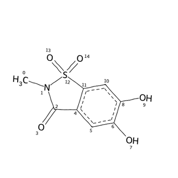 CN1C(=O)c2cc(O)c(O)cc2S1(=O)=O